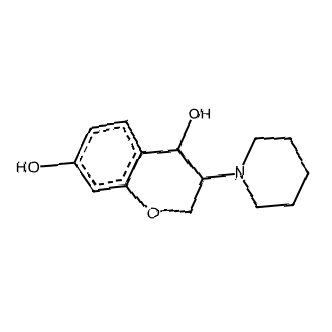 Oc1ccc2c(c1)OCC(N1CCCCC1)C2O